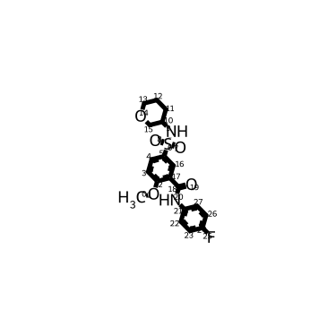 COc1ccc(S(=O)(=O)NC2CCCOC2)cc1C(=O)Nc1ccc(F)cc1